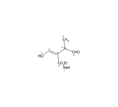 CCOC(=O)/C(=C\O)N(C)C=O.[NaH]